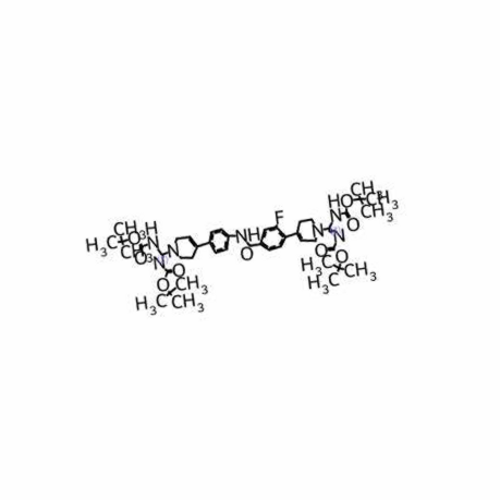 CC(C)(C)OC(=O)/N=C(/NC(=O)OC(C)(C)C)N1CC=C(c2ccc(NC(=O)c3ccc(C4=CCN(/C(=N\C(=O)OC(C)(C)C)NC(=O)OC(C)(C)C)CC4)c(F)c3)cc2)CC1